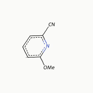 COc1[c]ccc(C#N)n1